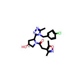 Cc1noc(C)c1CC(=O)N1C[C@@H](O)CC1c1nnc(C)n1Cc1ccc(Cl)cc1